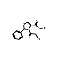 COC(=O)[C@@H]1COC(c2ccccc2)N1C(=O)CCl